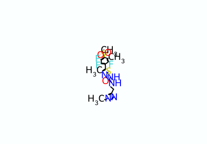 CCn1cnc(CCNC(=O)Nc2nc(C)c(-c3c(F)c(C)c(S(C)(=O)=O)c(F)c3F)s2)c1